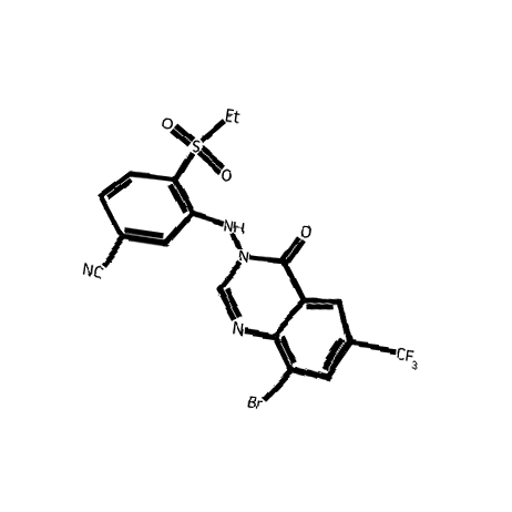 CCS(=O)(=O)c1ccc(C#N)cc1Nn1cnc2c(Br)cc(C(F)(F)F)cc2c1=O